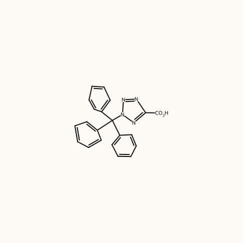 O=C(O)c1nnn(C(c2ccccc2)(c2ccccc2)c2ccccc2)n1